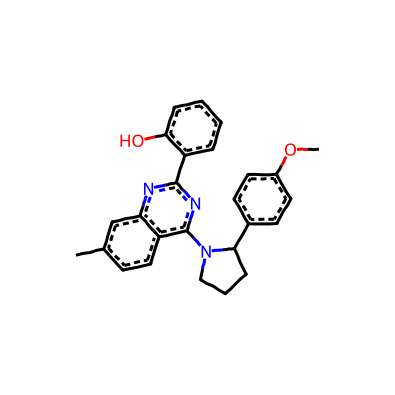 COc1ccc(C2CCCN2c2nc(-c3ccccc3O)nc3cc(C)ccc23)cc1